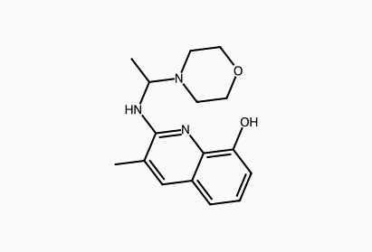 Cc1cc2cccc(O)c2nc1NC(C)N1CCOCC1